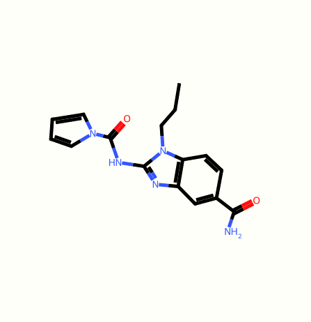 CCCn1c(NC(=O)n2cccc2)nc2cc(C(N)=O)ccc21